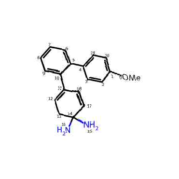 COc1ccc(-c2ccccc2C2=CCC(N)(N)C=C2)cc1